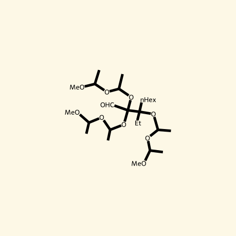 CCCCCCC(CC)(OC(C)OC(C)OC)C(C=O)(OC(C)OC(C)OC)OC(C)OC(C)OC